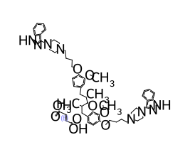 COc1cc(CC(C)C(=O)C(C)Cc2ccc(OCCCCN3CCN(c4n[nH]c5ccccc45)CC3)c(OC)c2)ccc1OCCCCN1CCN(c2n[nH]c3ccccc23)CC1.O=C(O)/C=C/C(=O)O